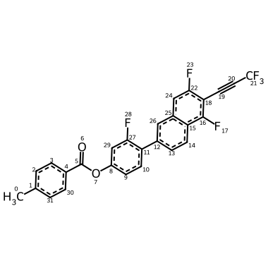 Cc1ccc(C(=O)Oc2ccc(-c3ccc4c(F)c(C#CC(F)(F)F)c(F)cc4c3)c(F)c2)cc1